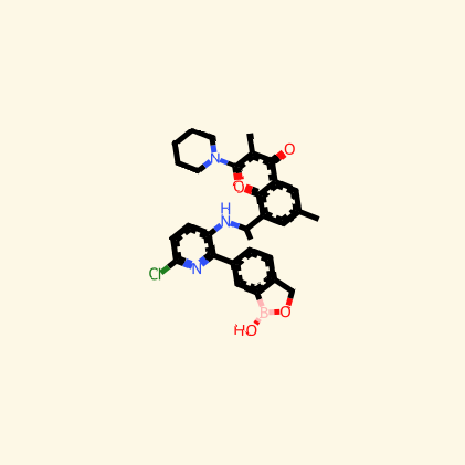 Cc1cc(C(C)Nc2ccc(Cl)nc2-c2ccc3c(c2)B(O)OC3)c2oc(N3CCCCC3)c(C)c(=O)c2c1